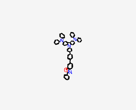 c1ccc(-c2nc3ccc(-c4ccc(-c5ccc(-n6c7ccc(N(c8ccccc8)c8ccccc8)cc7c7cc(N(c8ccccc8)c8ccccc8)ccc76)cc5)cc4)cc3o2)cc1